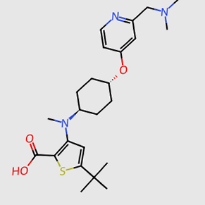 CN(C)Cc1cc(O[C@H]2CC[C@H](N(C)c3cc(C(C)(C)C)sc3C(=O)O)CC2)ccn1